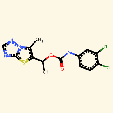 Cc1c(C(C)OC(=O)Nc2ccc(Cl)c(Cl)c2)sc2ncnn12